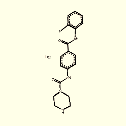 Cl.O=C(Nc1ccccc1F)c1ccc(NC(=O)N2CCNCC2)cc1